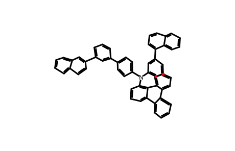 c1cc(-c2ccc(N(c3cccc(-c4cccc5ccccc45)c3)c3cccc4c5ccccc5c5ccccc5c34)cc2)cc(-c2ccc3ccccc3c2)c1